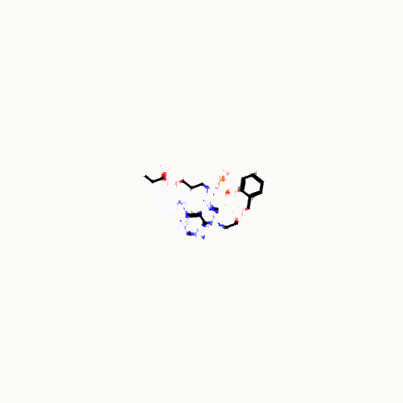 CCC(=O)OCCCN=[P+]([O-])Oc1ccccc1CO[C@H](C)Cn1cnc2c(N)ncnc21